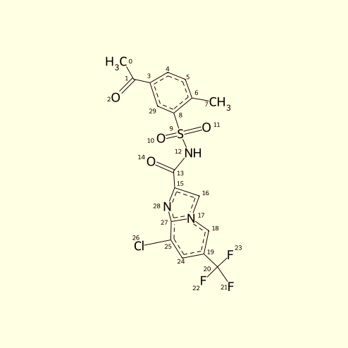 CC(=O)c1ccc(C)c(S(=O)(=O)NC(=O)c2cn3cc(C(F)(F)F)cc(Cl)c3n2)c1